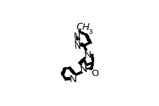 Cc1ccc(N2CC3CC2=CN(Cc2ccccn2)C3=O)nn1